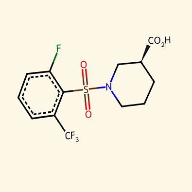 O=C(O)[C@H]1CCCN(S(=O)(=O)c2c(F)cccc2C(F)(F)F)C1